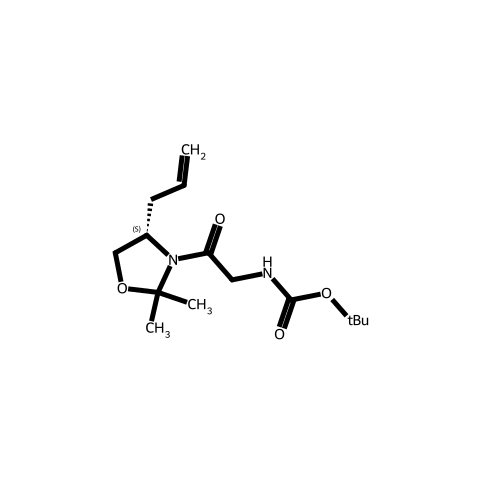 C=CC[C@H]1COC(C)(C)N1C(=O)CNC(=O)OC(C)(C)C